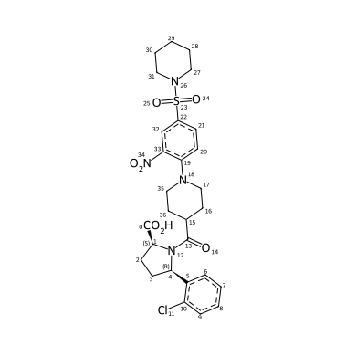 O=C(O)[C@@H]1CC[C@H](c2ccccc2Cl)N1C(=O)C1CCN(c2ccc(S(=O)(=O)N3CCCCC3)cc2[N+](=O)[O-])CC1